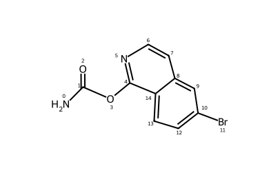 NC(=O)Oc1nccc2cc(Br)ccc12